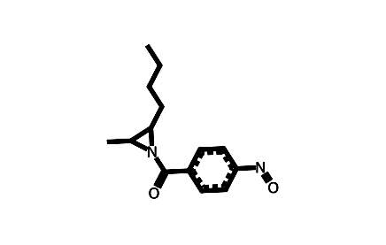 CCCCC1C(C)N1C(=O)c1ccc(N=O)cc1